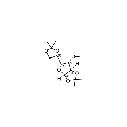 CO[C@@H]1[C@H]2OC(C)(C)O[C@H]2O[C@@H]1[C@H]1COC(C)(C)O1